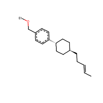 CC=CCC[C@H]1CC[C@H](c2ccc(COCC)cc2)CC1